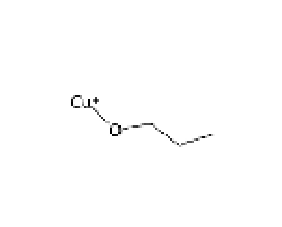 CCC[O][Cu+]